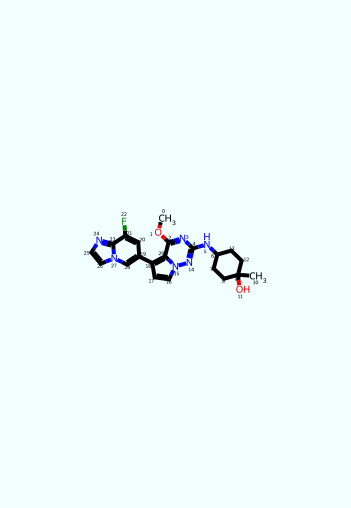 COc1nc(NC2CCC(C)(O)CC2)nn2ccc(-c3cc(F)c4nccn4c3)c12